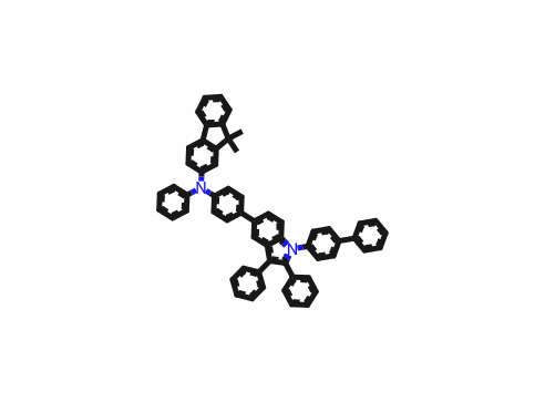 CC1(C)c2ccccc2-c2ccc(N(c3ccccc3)c3ccc(-c4ccc5c(c4)c(-c4ccccc4)c(-c4ccccc4)n5-c4ccc(-c5ccccc5)cc4)cc3)cc21